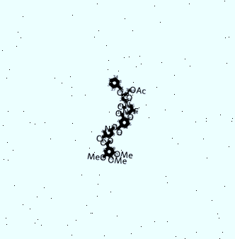 COc1cc(C(=O)Oc2cc(OC(=O)c3cccc(C(=O)n4c(=O)c(F)cn([C@H]5C[C@H](OCc6ccccc6)[C@@H](COC(C)=O)O5)c4=O)c3)ncc2Cl)cc(OC)c1OC